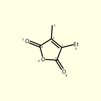 CCC1=C(C)C(=O)OC1=O